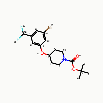 CC(C)(C)OC(=O)N1CCC(Oc2cc(Br)cc(C(F)F)c2)CC1